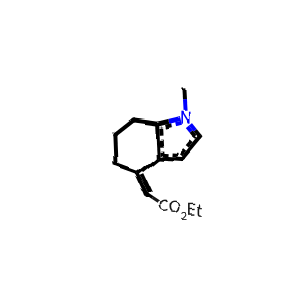 CCOC(=O)/C=C1/CCCc2c1ccn2C